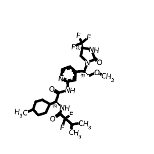 COC[C@H](c1ccnc(NC(=O)[C@@H](NC(=O)C(F)(F)C(C)C)C2CCC(C)CC2)c1)N1C[C@@H](C(F)(F)F)NC1=O